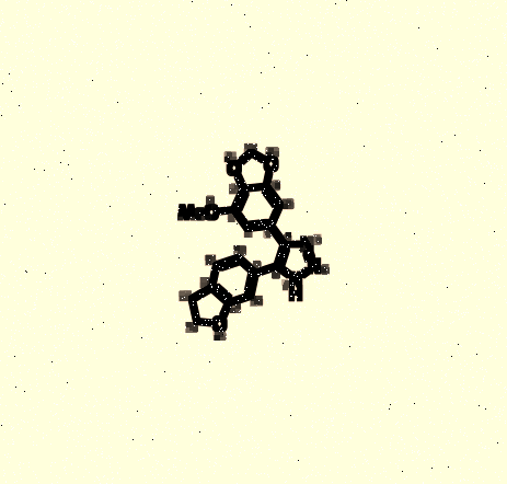 COc1cc(-c2nn[nH]c2-c2ccc3c(c2)OCC3)cc2c1OCO2